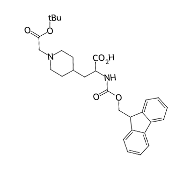 CC(C)(C)OC(=O)CN1CCC(CC(NC(=O)OCC2c3ccccc3-c3ccccc32)C(=O)O)CC1